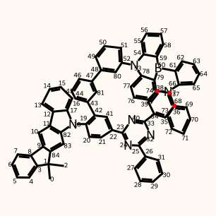 CC1(C)c2ccccc2-c2cc3c4ccccc4n(-c4ccc(-c5nc(-c6ccccc6)nc(-c6ccccc6)n5)cc4-c4cccc(-c5cccc(N6c7ccccc7B7c8ccccc8N(c8ccccc8)c8cccc6c87)c5)c4)c3cc21